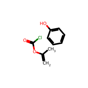 C=C(C)OC(=O)Cl.Oc1ccccc1